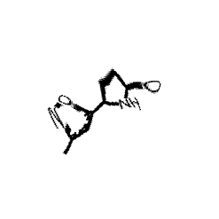 Cc1cc(C2CCC(=O)N2)on1